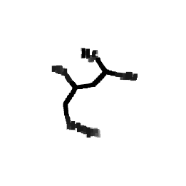 CCCCCCCCC(CCCC)CC(C)CCCC